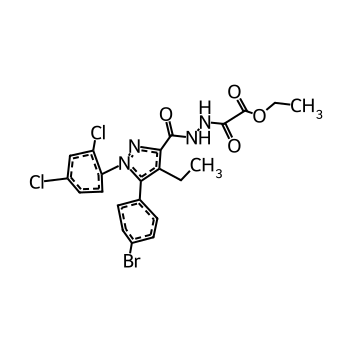 CCOC(=O)C(=O)NNC(=O)c1nn(-c2ccc(Cl)cc2Cl)c(-c2ccc(Br)cc2)c1CC